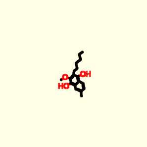 CCCCCCc1c(OC)c(O)c2cc(C)ccc2c1O